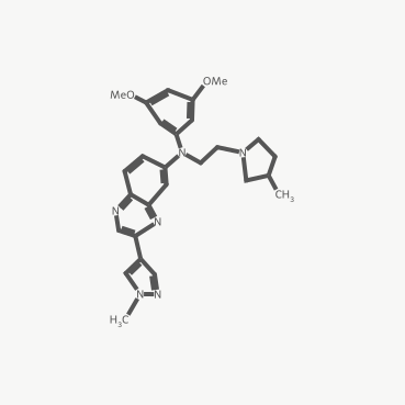 COc1cc(OC)cc(N(CCN2CCC(C)C2)c2ccc3ncc(-c4cnn(C)c4)nc3c2)c1